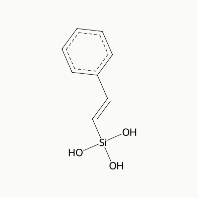 O[Si](O)(O)C=Cc1ccccc1